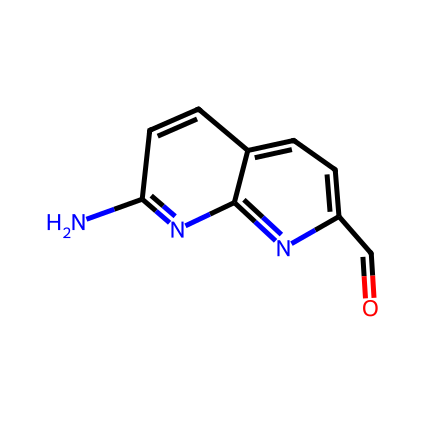 Nc1ccc2ccc(C=O)nc2n1